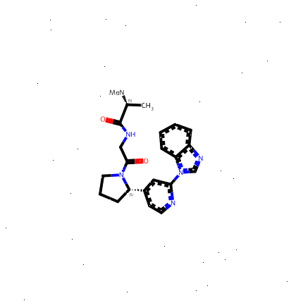 CN[C@@H](C)C(=O)NCC(=O)N1CCC[C@H]1c1ccnc(-n2cnc3ccccc32)c1